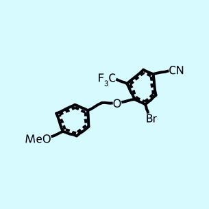 COc1ccc(COc2c(Br)cc(C#N)cc2C(F)(F)F)cc1